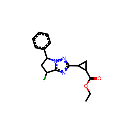 CCOC(=O)C1CC1c1nc2n(n1)C(c1ccccc1)CC2F